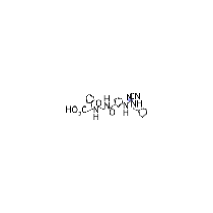 N#C/N=C(\NCc1ccccc1)Nc1cccc(C(=O)NCC(=O)NC(CC(=O)O)c2ccccc2)c1